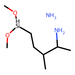 CO[SiH](CCC(C)C(C)N)OC.N